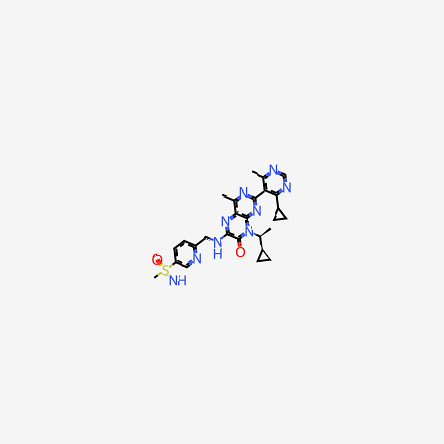 Cc1ncnc(C2CC2)c1-c1nc(C)c2nc(NCc3ccc(S(C)(=N)=O)cn3)c(=O)n([C@@H](C)C3CC3)c2n1